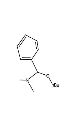 CCCCOC(c1ccccc1)N(C)C